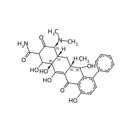 CN(C)[C@@H]1C(=O)C(C(N)=O)C(O)[C@@]2(O)C(O)=C3C(=O)c4c(O)ccc(-c5ccccc5)c4[C@](C)(O)[C@H]3C[C@@H]12